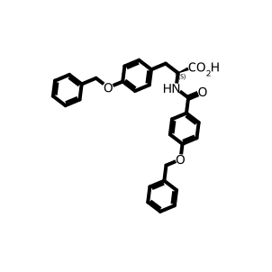 O=C(N[C@@H](Cc1ccc(OCc2ccccc2)cc1)C(=O)O)c1ccc(OCc2ccccc2)cc1